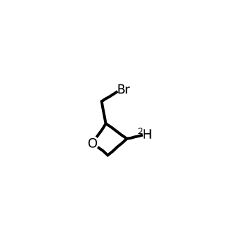 [2H]C1COC1CBr